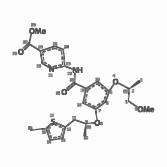 COC[C@H](C)Oc1cc(O[C@@H](C)Cc2ccc(C)s2)cc(C(=O)Nc2ccc(C(=O)OC)cn2)c1